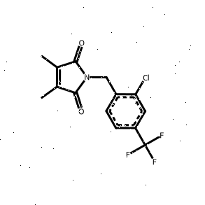 CC1=C(C)C(=O)N(Cc2ccc(C(F)(F)F)cc2Cl)C1=O